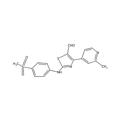 Cc1cc(-c2nc(Nc3ccc(S(C)(=O)=O)cc3)sc2C=O)ccn1